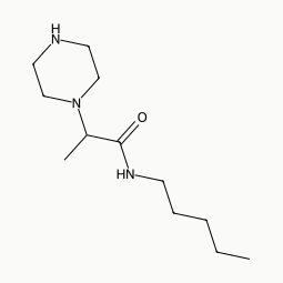 CCCCCNC(=O)C(C)N1CCNCC1